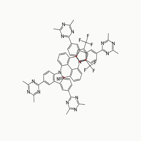 Cc1nc(C)nc(-c2ccc3c(c2)c2cc(-c4nc(C)nc(C)n4)ccc2n3-c2cccc(C#N)c2-c2c(-c3cc(C(F)(F)F)cc(C(F)(F)F)c3)cccc2-n2c3ccc(-c4nc(C)nc(C)n4)cc3c3cc(-c4nc(C)nc(C)n4)ccc32)n1